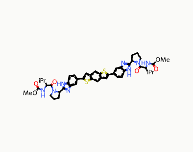 COC(=O)NC(C(=O)N1CCCC1c1nc2cc(-c3cc4cc5sc(-c6ccc7[nH]c(C8CCCN8C(=O)C(NC(=O)OC)C(C)C)nc7c6)cc5cc4s3)ccc2[nH]1)C(C)C